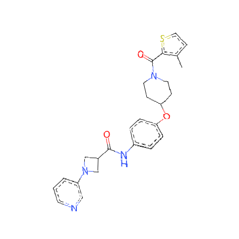 Cc1ccsc1C(=O)N1CCC(Oc2ccc(NC(=O)C3CN(c4cccnc4)C3)cc2)CC1